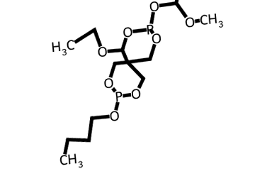 CCCCOP1OCC2(CO1)COP(OC(C)OC)OC2OCC